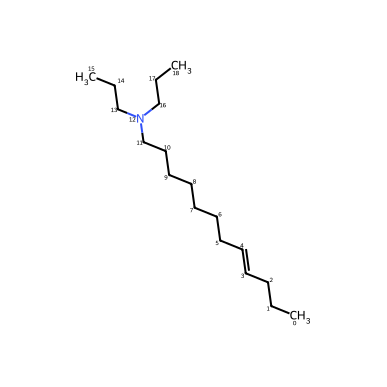 CCCC=CCCCCCCCN(CCC)CCC